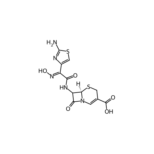 Nc1nc(C(=NO)C(=O)NC2C(=O)N3C=C(C(=O)O)CS[C@H]23)cs1